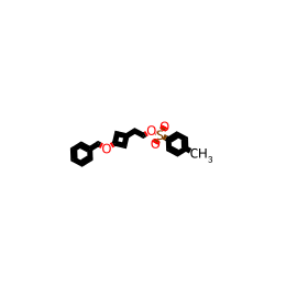 Cc1ccc(S(=O)(=O)OCCC2CC(OCc3ccccc3)C2)cc1